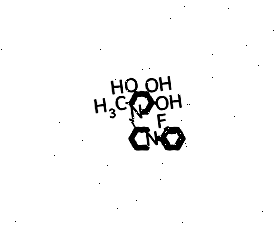 C[C@@H]1[C@@H](O)[C@H](O)[C@@H](O)CN1C[C@H]1CCCN(c2ccccc2F)C1